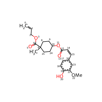 C=CCOC(=O)C1(C)CCC(OC(=O)/C=C\c2ccc(O)c(OC)c2)CC1